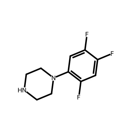 Fc1cc(F)c(N2CCNCC2)cc1F